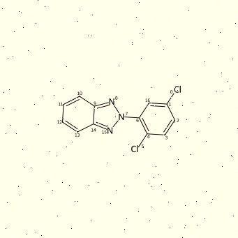 Clc1[c]cc(Cl)c(-n2nc3ccccc3n2)c1